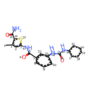 Cc1cc(NC(=O)c2cccc(NC(=O)Nc3ccccc3)c2)sc1C(N)=O